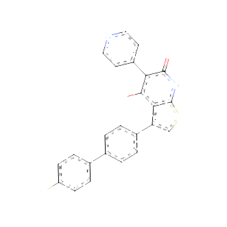 O=c1[nH]c2scc(-c3ccc(-c4ccc(F)cc4)cc3)c2c(O)c1-c1ccncc1